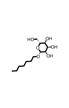 CCCCCCCO[C@@H]1O[C@H](CO)[C@@H](O)[C@@H](O)[C@H]1O